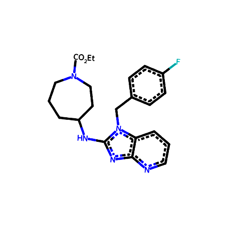 CCOC(=O)N1CCCC(Nc2nc3ncccc3n2Cc2ccc(F)cc2)CC1